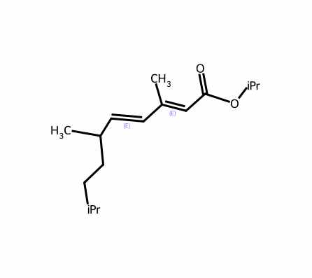 CC(/C=C/C(C)CCC(C)C)=C\C(=O)OC(C)C